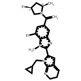 C=C(c1cc(CC)c2c(c1)nc(-c1cc3c(n1CC1CC1)=NCCC=3)n2C)N1C[C@@H](CC)C[C@H]1C